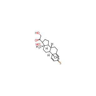 C[C@]12C=CC(=S)C=C1CC[C@@H]1[C@@H]2CC[C@@]2(C)[C@H]1CC[C@]2(O)C(=O)CO